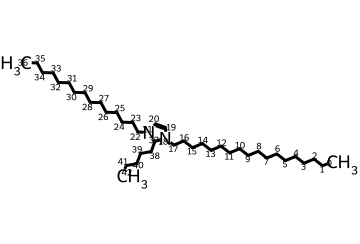 CCCCCCCCCCCCCCCCCCN1C=CN(CCCCCCCCCCCCCCC)C1CCCCC